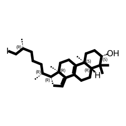 C[C@@H](CI)CCC[C@@H](C)[C@H]1CC=C2C3=C(CC[C@@]21C)[C@@]1(C)CC[C@H](O)C(C)(C)[C@@H]1CC3